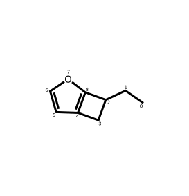 CCC1Cc2ccoc21